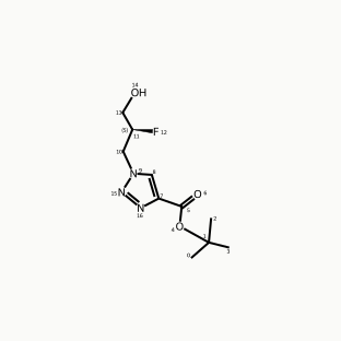 CC(C)(C)OC(=O)c1cn(C[C@H](F)CO)nn1